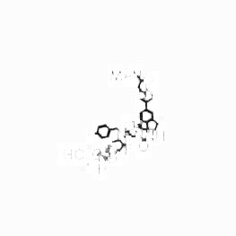 CNC(=O)Cn1cc(-c2ccc3c(c2)CC[C@]32NC(=O)N(CC(=O)N(Cc3ccc(F)cc3)C3CN(S(=O)(=O)NC(=O)O)CC3(F)F)C2=O)cn1